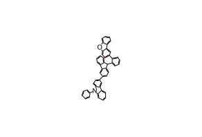 c1ccc(-n2c3ccccc3c3cc(-c4ccc5c(c4)-c4ccccc4C5c4ccccc4-c4ccc5oc6ccccc6c5c4)ccc32)cc1